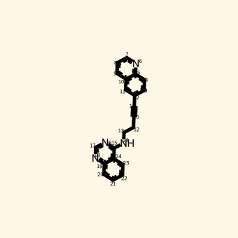 C(#Cc1ccc2ncccc2c1)CCNc1ncnc2ccccc12